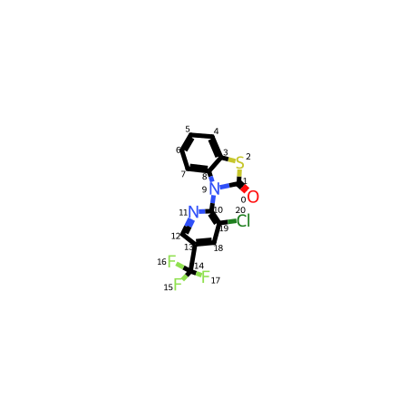 O=c1sc2ccccc2n1-c1ncc(C(F)(F)F)cc1Cl